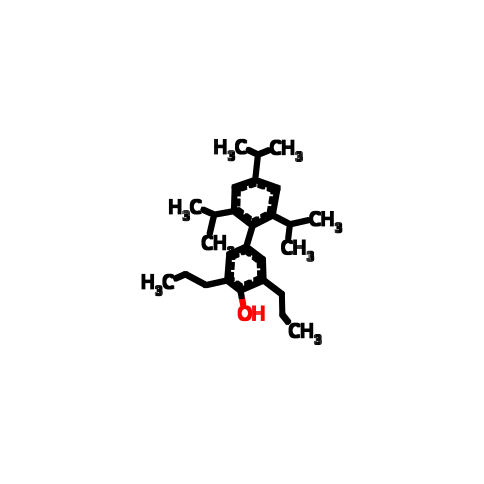 CCCc1cc(-c2c(C(C)C)cc(C(C)C)cc2C(C)C)cc(CCC)c1O